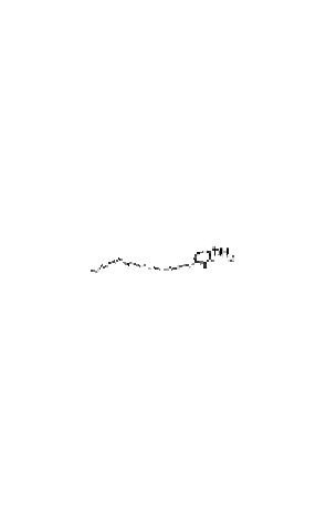 CCCCCCCCCCCCCCCCCCc1ccc(C(C)N)c(C)c1C